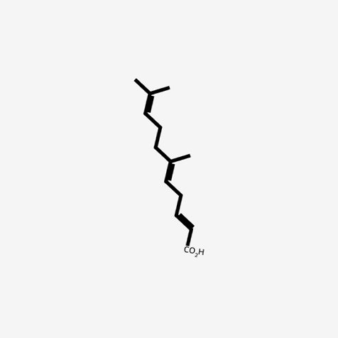 CC(C)=CCC/C(C)=C/CC=CC(=O)O